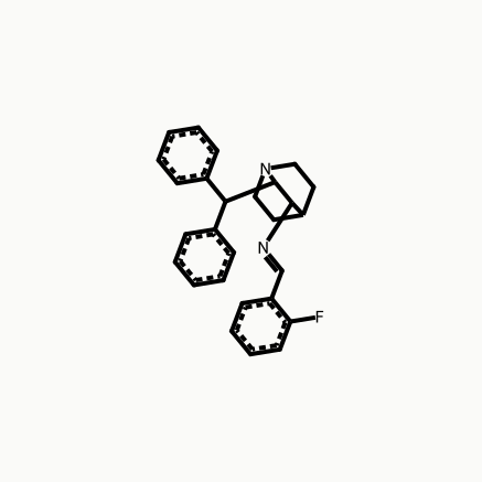 Fc1ccccc1C=NC1C2CCN(CC2)C1C(c1ccccc1)c1ccccc1